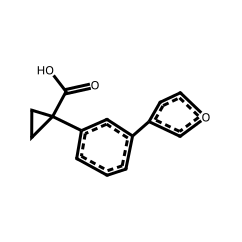 O=C(O)C1(c2cccc(-c3ccoc3)c2)CC1